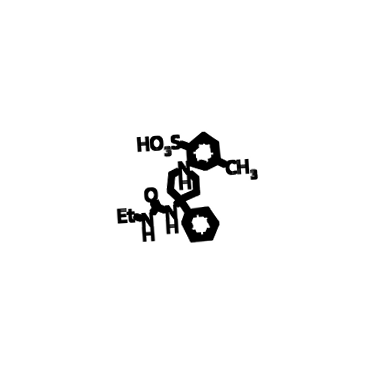 CCNC(=O)NC1(c2ccccc2)CCNCC1.Cc1ccc(S(=O)(=O)O)cc1